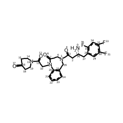 N[C@@H](CC(=O)N1CC(=O)N(CC(=O)N2CCC(=O)CC2)c2ccccc2C1)Cc1cc(F)c(F)cc1F